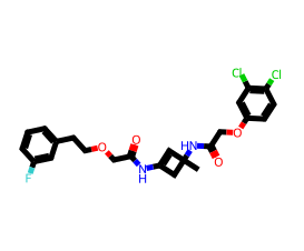 CC1(NC(=O)COc2ccc(Cl)c(Cl)c2)C=C(NC(=O)COCCc2cccc(F)c2)C1